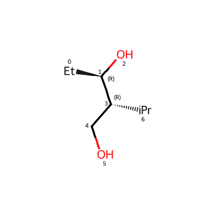 CC[C@@H](O)[C@@H](CO)C(C)C